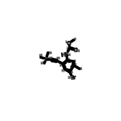 COC(=O)Nc1cc(C)c(Br)cc1C#C[Si](C)(C)C